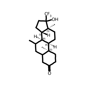 CC1CC2CC(=O)CC[C@]2(C)[C@@H]2CC[C@@]3(C)[C@@H](CCC3(O)C(F)(F)F)[C@H]12